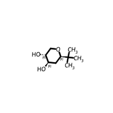 CC(C)(C)[C@H]1C[C@@H](O)[C@H](O)CO1